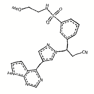 COCCNS(=O)(=O)c1cccc(C(CC#N)n2cc(-c3ncnc4[nH]ccc34)cn2)c1